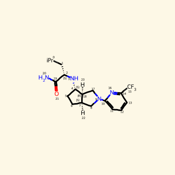 CC(C)C[C@H](N[C@H]1CC[C@@H]2CN(c3cccc(C(F)(F)F)n3)C[C@@H]21)C(N)=O